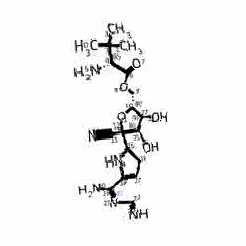 CC(C)(C)[C@@H](N)C(=O)OC[C@H]1O[C@@](C#N)(C2CC=C(/C(N)=N\C=N)N2)[C@H](O)[C@@H]1O